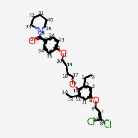 CCc1cc(OCC=C(Cl)Cl)cc(CC)c1OCCCCOc1ccc(C(=O)N2CCCCC2)cc1